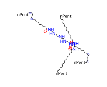 CCCCCC=CCC=CCCCCCCCC(=O)NC(CCCCCC/C=C\C/C=C\CCCCC)(NC(=O)CCCCCCCC=CCC=CCCCCC)C(=O)NCCNCCNCCNCCNC(=O)CCCCCCC/C=C\C/C=C\CCCCC